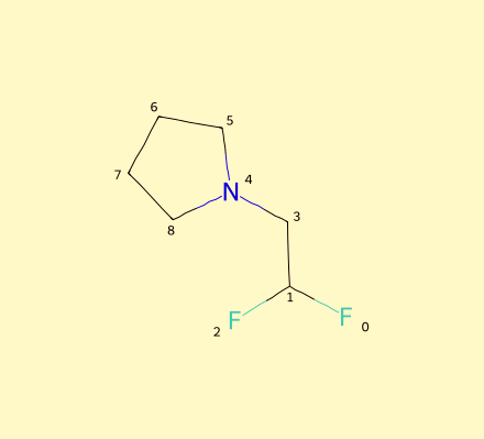 FC(F)CN1CCCC1